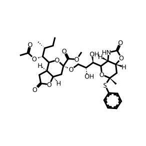 CC[C@@H](C)[C@@H](OC(C)=O)C1O[C@@](OC[C@@H](O)[C@@H](O)C2O[C@@](C)(Sc3ccccc3)C[C@H]3OC(=O)N[C@@H]23)(C(=O)OC)C[C@H]2OC(=O)C[C@@H]12